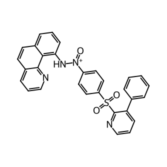 O=[N+](Nc1cccc2ccc3cccnc3c12)c1ccc(S(=O)(=O)c2ncccc2-c2ccccc2)cc1